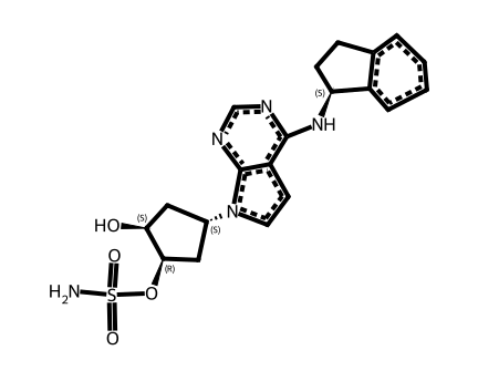 NS(=O)(=O)O[C@@H]1C[C@@H](n2ccc3c(N[C@H]4CCc5ccccc54)ncnc32)C[C@@H]1O